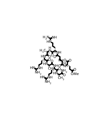 COC(=O)CC[C@H](NC(=O)CCCC(=O)N[C@@H](CCCNC(=N)N)C(=O)N[C@@H](C)C(=O)N[C@@H](CCCNC(=N)N)C(=O)N[C@@H](C)C(=O)N[C@@H](CCCNC(=N)N)C(=O)N[C@@H](C)C(N)=O)C(=O)OC